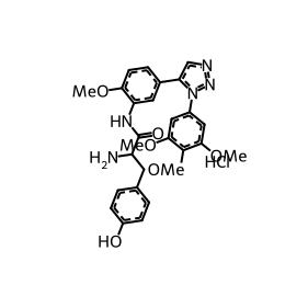 COc1ccc(-c2cnnn2-c2cc(OC)c(OC)c(OC)c2)cc1NC(=O)C(N)Cc1ccc(O)cc1.Cl